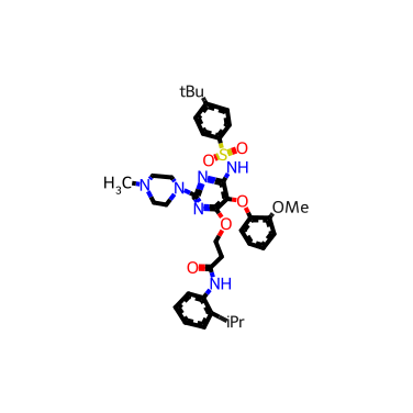 COc1ccccc1Oc1c(NS(=O)(=O)c2ccc(C(C)(C)C)cc2)nc(N2CCN(C)CC2)nc1OCCC(=O)Nc1ccccc1C(C)C